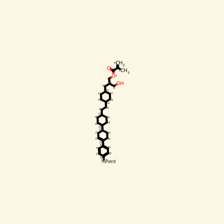 C=C(C)C(=O)OCC(CO)CC1CCC(CCC2CCC(C3CC=C(c4ccc(CCCCC)cc4)CC3)CC2)CC1